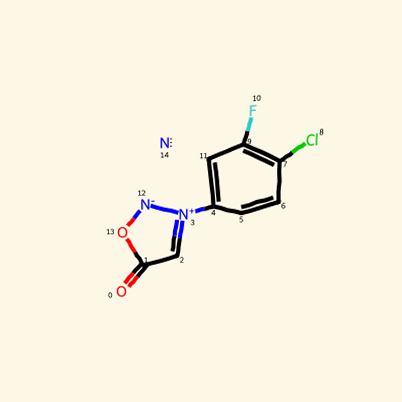 O=c1c[n+](-c2ccc(Cl)c(F)c2)[n-]o1.[N]